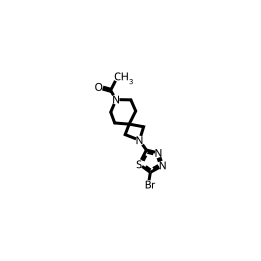 CC(=O)N1CCC2(CC1)CN(c1nnc(Br)s1)C2